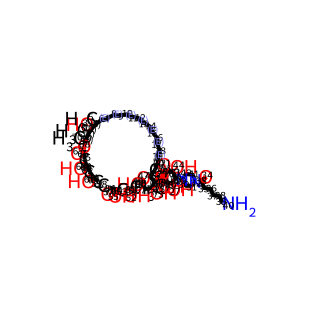 C[C@@H]1[C@H](O)[C@@H](C)/C=C/C=C/C=C/C=C/C=C/C=C/C=C/[C@H](O[C@@H]2O[C@H](C)[C@@H](O)[C@H](N3CCN(C(=O)CCCCCN)CC3)[C@@H]2O)CC2O[C@](O)(C[C@@H](O)C[C@@H](O)[C@H](O)CC[C@@H](O)C[C@@H](O)CC(=O)O[C@H]1C)C[C@H](O)[C@H]2C(=O)O